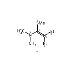 CC[N+](CC)=C(SC)N(C)C.[I-]